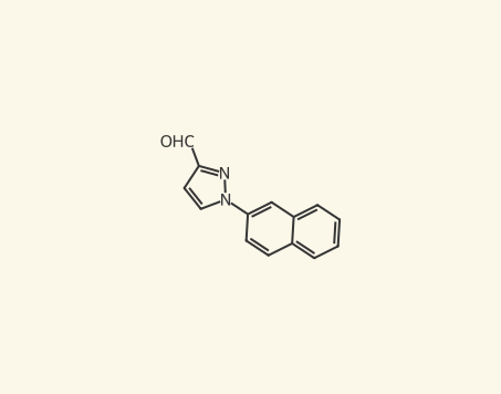 O=Cc1ccn(-c2ccc3ccccc3c2)n1